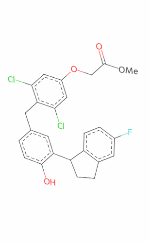 COC(=O)COc1cc(Cl)c(Cc2ccc(O)c(C3CCc4cc(F)ccc43)c2)c(Cl)c1